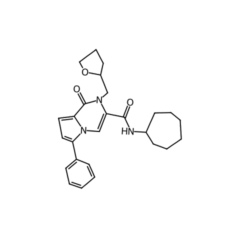 O=C(NC1CCCCCC1)c1cn2c(-c3ccccc3)ccc2c(=O)n1CC1CCCO1